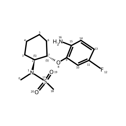 CN([C@H]1CCCC[C@@H]1Oc1cc(F)ccc1N)S(C)(=O)=O